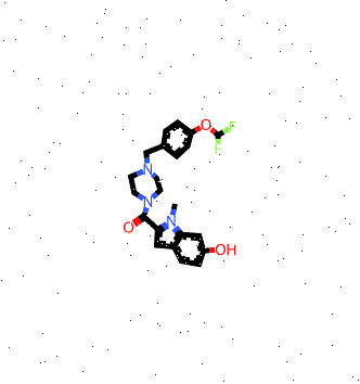 Cn1c(C(=O)N2CCN(Cc3ccc(OC(F)F)cc3)CC2)cc2ccc(O)cc21